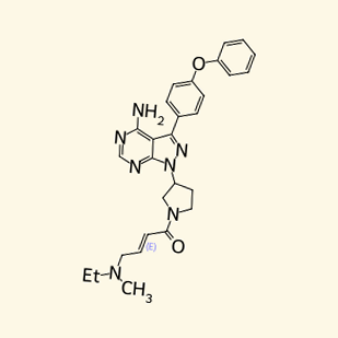 CCN(C)C/C=C/C(=O)N1CCC(n2nc(-c3ccc(Oc4ccccc4)cc3)c3c(N)ncnc32)C1